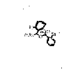 CCCCCCCCC(OC(CCCCCCCC)c1ccccc1CC)c1ccccc1CC